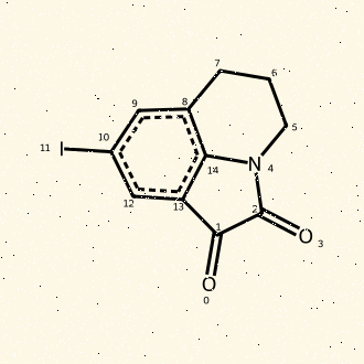 O=C1C(=O)N2CCCc3cc(I)cc1c32